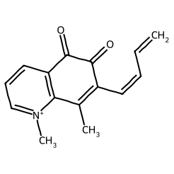 C=C/C=C\C1=C(C)c2c(ccc[n+]2C)C(=O)C1=O